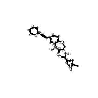 Cc1nc(C(=O)N[C@H]2COc3ccc(C#Cc4ccccn4)cc3N(C)C2=O)n[nH]1